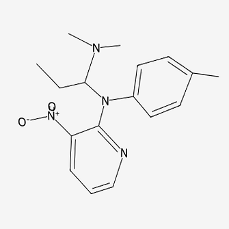 CCC(N(C)C)N(c1ccc(C)cc1)c1ncccc1[N+](=O)[O-]